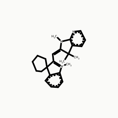 CN1C(=CC2=[N+](C)c3ccccc3C23CCCCC3)C(C)(C)c2cccnc21